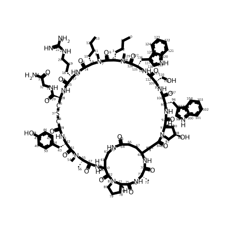 CCCC[C@H]1C(=O)N(C)[C@@H](CCCC)C(=O)N[C@@H](CCCNC(=N)N)C(=O)N[C@H](C(=O)NCC(N)=O)CSCC(=O)N[C@@H](Cc2ccc(O)cc2)C(=O)N(C)[C@@H](C)C(=O)N[C@H]2CCNC(=O)CC[C@H](NC(=O)[C@H](C)NC(=O)[C@@H]3CCCN3C2=O)C(=O)N2C[C@H](O)C[C@H]2C(=O)N[C@@H](Cc2c[nH]c3ccccc23)C(=O)N[C@@H](CO)C(=O)N[C@@H](Cc2c[nH]c3ccccc23)C(=O)N1C